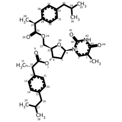 Cc1cn([C@H]2C[C@H](OC(=O)[C@@H](C)c3ccc(CC(C)C)cc3)[C@@H](COC(=O)[C@@H](C)c3ccc(CC(C)C)cc3)O2)c(=O)[nH]c1=O